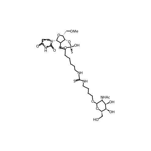 COC[C@H]1O[C@@H](n2ccc(=O)[nH]c2=O)C(CCCCCCCNC(=S)NCCCCO[C@@H]2O[C@H](CO)[C@H](O)[C@H](O)[C@H]2NC(C)=O)[C@H]1OP(O)(=S)OC